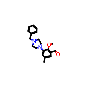 COc1c(C=O)cc(C)cc1N1CCN(Cc2ccccc2)CC1